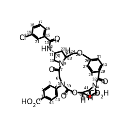 O=C(O)c1ccc(N2CC(=O)N3C[C@H](NC(=O)c4cccc(Cl)c4)C[C@H]3COc3ccc(cc3)C(=O)N3CC[C@H](OC2=O)[C@H]3C(=O)O)cc1